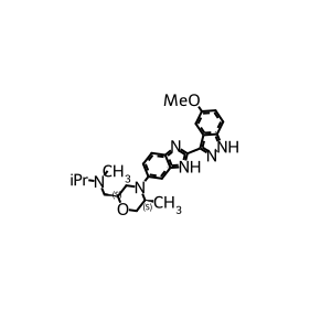 COc1ccc2[nH]nc(-c3nc4ccc(N5C[C@H](CN(C)C(C)C)OC[C@@H]5C)cc4[nH]3)c2c1